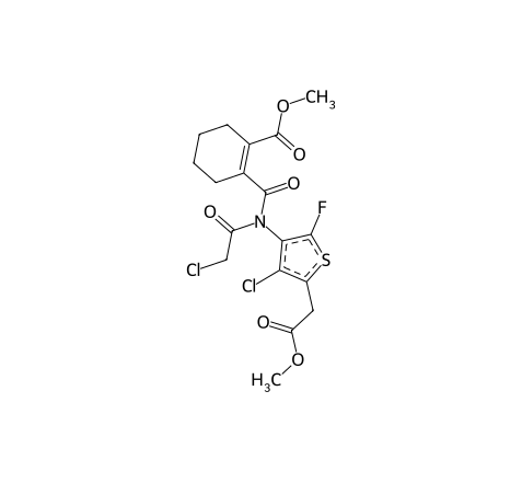 COC(=O)Cc1sc(F)c(N(C(=O)CCl)C(=O)C2=C(C(=O)OC)CCCC2)c1Cl